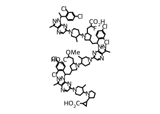 COC(CC1CC(CC(c2ccc(Cl)cc2Cl)n2nc(C)c3ncc(N4CCC(N5CCCC5C5CC5C(=O)O)C(C)C4)nc32)CN1C1CCN(c2cnc3c(C)nn(C(CC4CC(CC(F)C(=O)O)N(C5CCN(c6cnc7c(C)nn(C(C)c8ccc(Cl)cc8Cl)c7n6)CC5C)C4)c4ccc(Cl)cc4Cl)c3n2)CC1C)C(=O)O